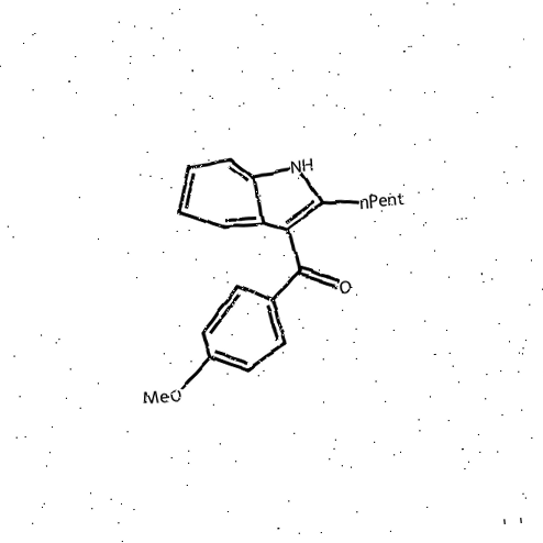 CCCCCc1[nH]c2ccccc2c1C(=O)c1ccc(OC)cc1